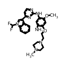 COc1cc(OCCN2CCN(C)CC2)c(N)cc1Nc1nccc(-c2cn(C(F)F)c3ccccc23)n1